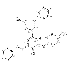 O=C(NCCN1CCCCC1)C(Cc1ccc([N+](=O)[O-])cc1)NC(=O)N(CCO)CCc1ccccc1